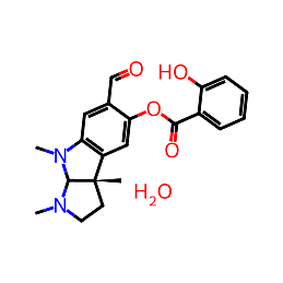 CN1CC[C@@]2(C)c3cc(OC(=O)c4ccccc4O)c(C=O)cc3N(C)C12.O